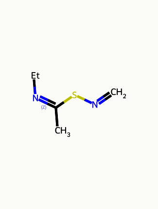 C=NS/C(C)=N\CC